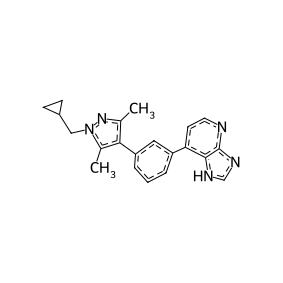 Cc1nn(CC2CC2)c(C)c1-c1cccc(-c2ccnc3nc[nH]c23)c1